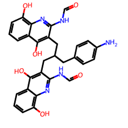 Nc1ccc(CC(Cc2c(NC=O)nc3c(O)cccc3c2O)Cc2c(NC=O)nc3c(O)cccc3c2O)cc1